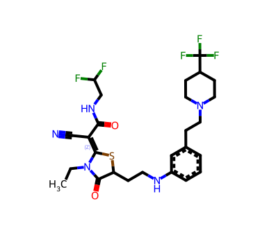 CCN1C(=O)C(CCNc2cccc(CCN3CCC(C(F)(F)F)CC3)c2)S/C1=C(/C#N)C(=O)NCC(F)F